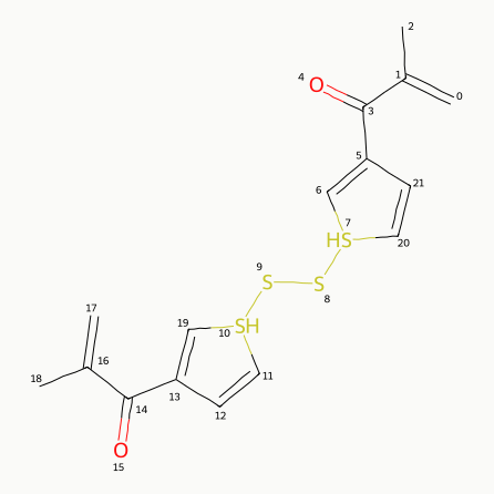 C=C(C)C(=O)C1=C[SH](SS[SH]2C=CC(C(=O)C(=C)C)=C2)C=C1